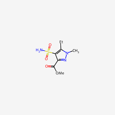 CCc1c(S(N)(=O)=O)c(C(=O)OC)nn1C